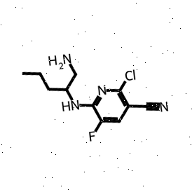 CCCC(CN)Nc1nc(Cl)c(C#N)cc1F